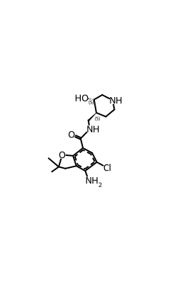 CC1(C)Cc2c(N)c(Cl)cc(C(=O)NC[C@@H]3CCNC[C@H]3O)c2O1